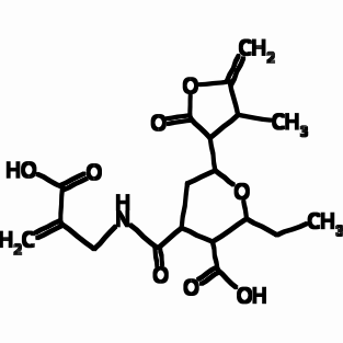 C=C(CNC(=O)C1CC(C2C(=O)OC(=C)C2C)OC(CC)C1C(=O)O)C(=O)O